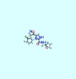 Cc1cccc(-c2cnoc2-c2c[nH]c(C(=O)NC[C@@H]3CCCO3)n2)c1F